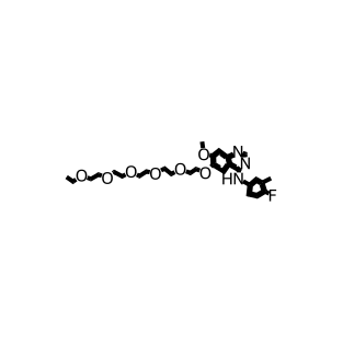 CCOCCOCCOCCOCCOCCOc1cc2c(Nc3ccc(F)c(C)c3)ncnc2cc1OC